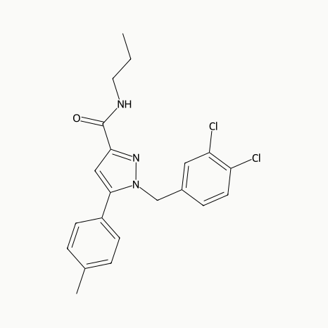 CCCNC(=O)c1cc(-c2ccc(C)cc2)n(Cc2ccc(Cl)c(Cl)c2)n1